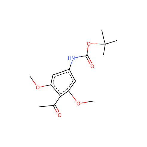 COc1cc(NC(=O)OC(C)(C)C)cc(OC)c1C(C)=O